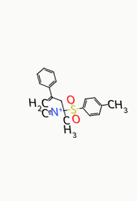 [C-]#[N+]C(C)(CC(=C)c1ccccc1)S(=O)(=O)c1ccc(C)cc1